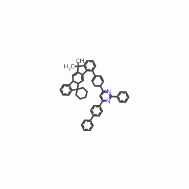 CC1(C)C2=CC3c4ccccc4C4(CCCCC4)C3C=C2c2c(C3=CCC(c4cc(-c5ccc(-c6ccccc6)cc5)nc(-c5ccccc5)n4)C=C3)cccc21